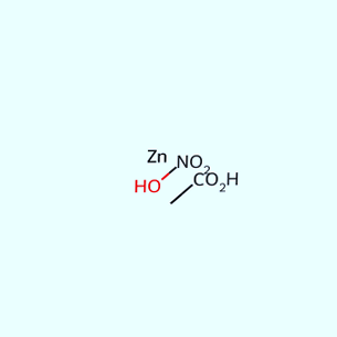 CC(=O)O.O=[N+]([O-])O.[Zn]